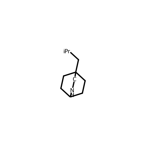 CC(C)CC12CCC(CC1)NC2